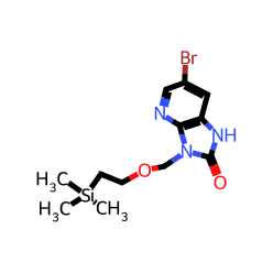 C[Si](C)(C)CCOCn1c(=O)[nH]c2cc(Br)cnc21